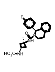 C[C@]1(NC(=O)N2CCc3ccccc3[C@@H]2c2ccc(F)cc2)C[C@@H](NC(=O)O)C1